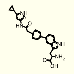 NC(Cc1c[nH]c2ccc(-c3ccc(CC(=O)Nc4cc(C5CC5)[nH]n4)cc3)cc12)C(=O)O